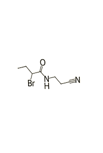 CCC(Br)C(=O)NCCC#N